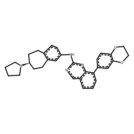 c1cc(-c2ccc3c(c2)OCCO3)c2nc(Nc3ccc4c(c3)CC[C@@H](N3CCCC3)CC4)ncc2c1